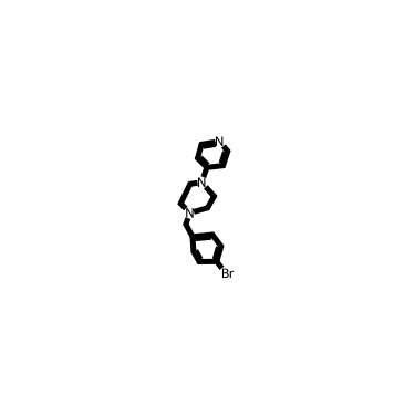 Brc1ccc(CN2CCN(c3ccncc3)CC2)cc1